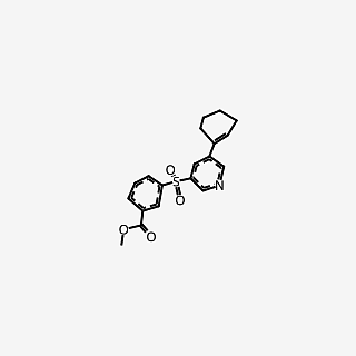 COC(=O)c1cccc(S(=O)(=O)c2cncc(C3=CCCCC3)c2)c1